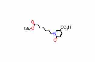 CC(C)(C)OC(=O)CCCCCCn1cc(C(=O)O)ccc1=O